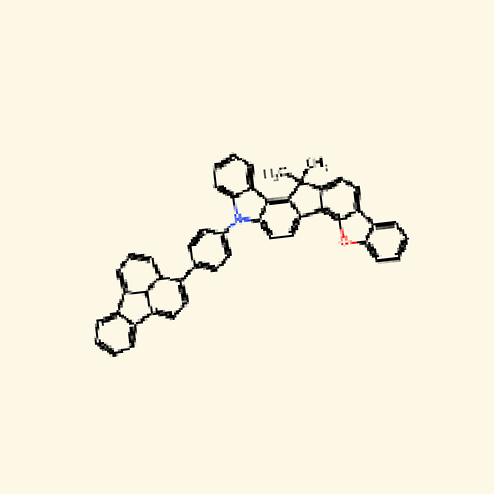 CC1(C)c2ccc3c(oc4ccccc43)c2-c2ccc3c(c21)c1ccccc1n3-c1ccc(C2=CC=C3c4ccccc4C4=CC=CC2C43)cc1